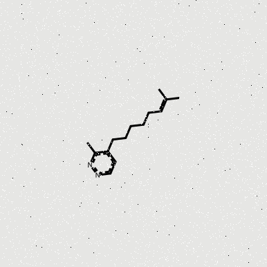 CC(C)=CCCCCCc1ccnnc1C